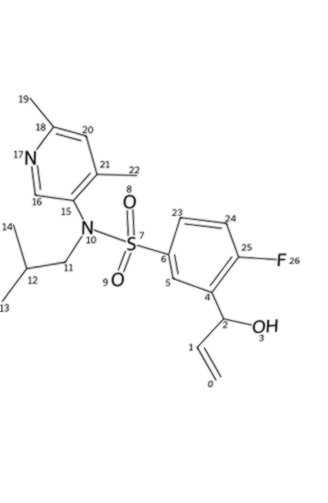 C=CC(O)c1cc(S(=O)(=O)N(CC(C)C)c2cnc(C)cc2C)ccc1F